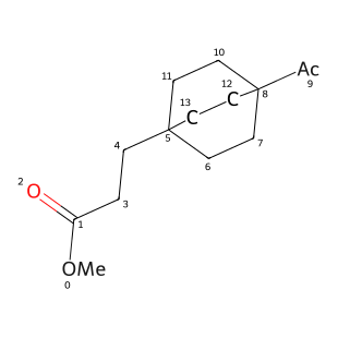 COC(=O)CCC12CCC(C(C)=O)(CC1)CC2